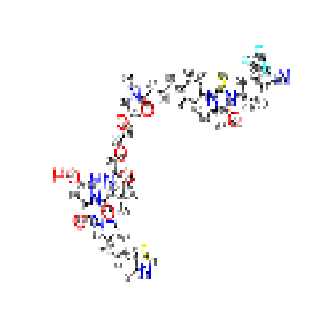 Cc1ncsc1-c1ccc(CNC(=O)[C@@H]2C[C@@H](O)CN2C(=O)C(NC(=O)COCCOCCN(C)C(=O)CCCc2ccc(N3C(=S)N(c4ccc(C#N)c(C(F)(F)F)c4)C(=O)C3(C)C)cc2)C(C)(C)C)cc1